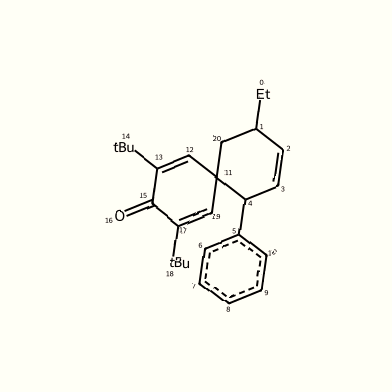 CCC1C=CC(c2ccccc2)C2(C=C(C(C)(C)C)C(=O)C(C(C)(C)C)=C2)C1